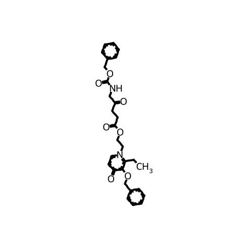 CCc1c(OCc2ccccc2)c(=O)ccn1CCOC(=O)CCC(=O)CNC(=O)OCc1ccccc1